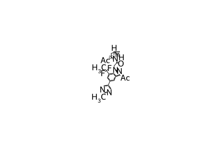 CC(=O)c1nn(CC(=O)N2[C@@H]3C[C@@H]3C[C@H]2C(C)=O)c2c(C(C)(F)F)cc(-c3cnc(C)nc3)cc12